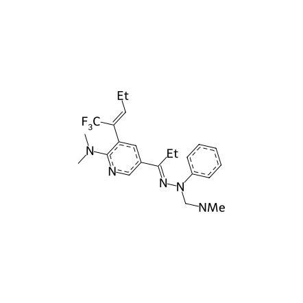 CC/C=C(/c1cc(/C(CC)=N/N(CNC)c2ccccc2)cnc1N(C)C)C(F)(F)F